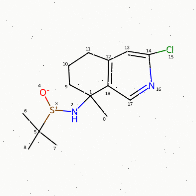 CC1(N[S+]([O-])C(C)(C)C)CCCc2cc(Cl)ncc21